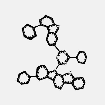 c1ccc(-c2ccc3c(c2)c2ccc4c5ccccc5oc4c2n3-c2nc(-c3ccccc3)nc(-c3ccc4c(c3)oc3cccc(-c5ccccc5)c34)n2)cc1